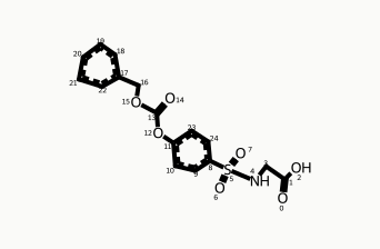 O=C(O)CNS(=O)(=O)c1ccc(OC(=O)OCc2ccccc2)cc1